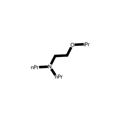 CCCN(CCC)CCOC(C)C